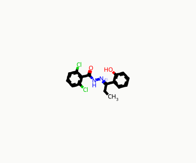 CC/C(=N\NC(=O)c1c(Cl)cccc1Cl)c1ccccc1O